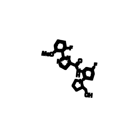 COc1cccc(F)c1-c1nccc(C(=O)Nc2cc(F)ccc2N2CCCC2CO)n1